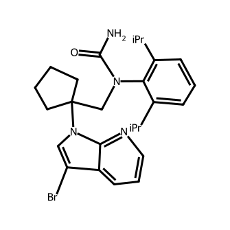 CC(C)c1cccc(C(C)C)c1N(CC1(n2cc(Br)c3cccnc32)CCCC1)C(N)=O